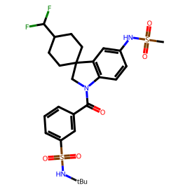 CC(C)(C)NS(=O)(=O)c1cccc(C(=O)N2CC3(CCC(C(F)F)CC3)c3cc(NS(C)(=O)=O)ccc32)c1